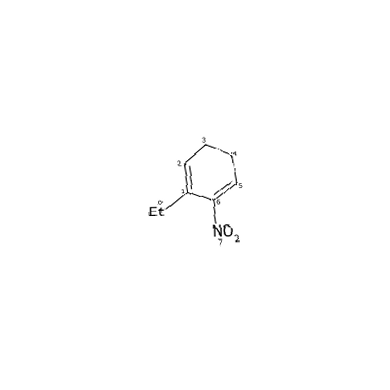 CCC1=CC[CH]C=C1[N+](=O)[O-]